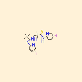 CC(C)(C)C(=Nc1ccc(I)cn1)NCC(C)(C)C(=S)Nc1ccc(I)cn1